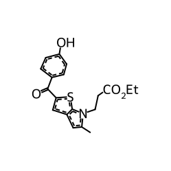 CCOC(=O)CCn1c(C)cc2cc(C(=O)c3ccc(O)cc3)sc21